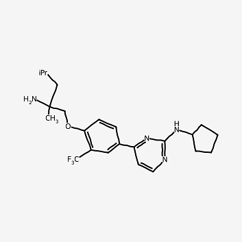 CC(C)CC(C)(N)COc1ccc(-c2ccnc(NC3CCCC3)n2)cc1C(F)(F)F